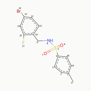 Cc1ccc(S(=O)(=O)NCc2ccc(Br)cc2F)cc1